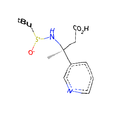 CC(C)(C)[S+]([O-])N[C@@](C)(CC(=O)O)c1cccnc1